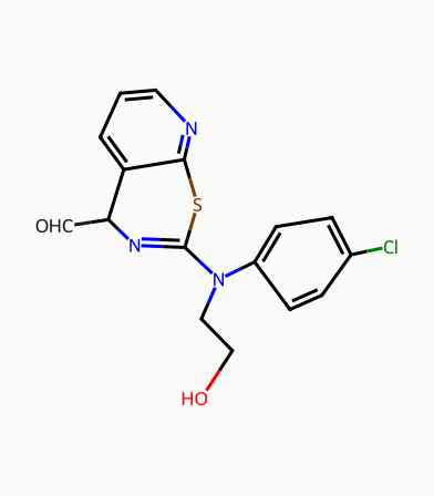 O=CC1N=C(N(CCO)c2ccc(Cl)cc2)Sc2ncccc21